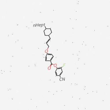 CCCCCCCC1CCC(C=CCOc2ccc(C(=O)Oc3ccc(C#N)cc3F)cc2)CC1